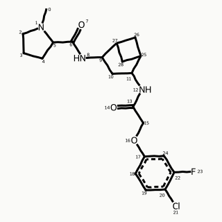 CN1CCCC1C(=O)NC1CC(NC(=O)COc2ccc(Cl)c(F)c2)C2CC1C2